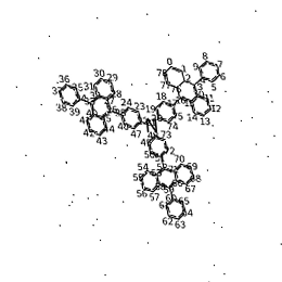 C1=CC2C(c3ccccc3)=c3ccccc3=C(c3ccc(N(c4ccc(-c5c6ccccc6c(-c6ccccc6)c6ccccc56)cc4)c4ccc(-c5c6ccccc6c(-c6ccccc6)c6ccccc56)cc4)cc3)C2C=C1